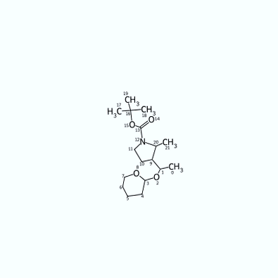 CC(OC1CCCCO1)C1CCN(C(=O)OC(C)(C)C)C1C